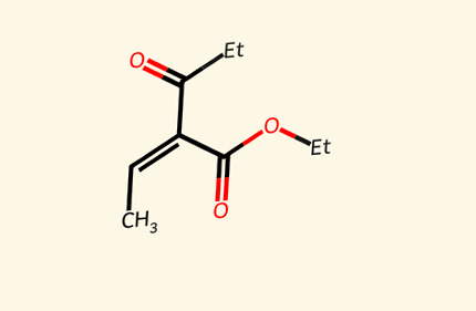 C/C=C(/C(=O)CC)C(=O)OCC